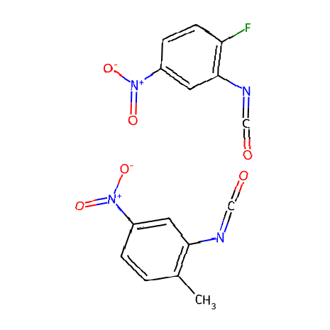 Cc1ccc([N+](=O)[O-])cc1N=C=O.O=C=Nc1cc([N+](=O)[O-])ccc1F